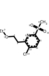 CCOCCc1nc(S(C)(=O)=O)ccc1Cl